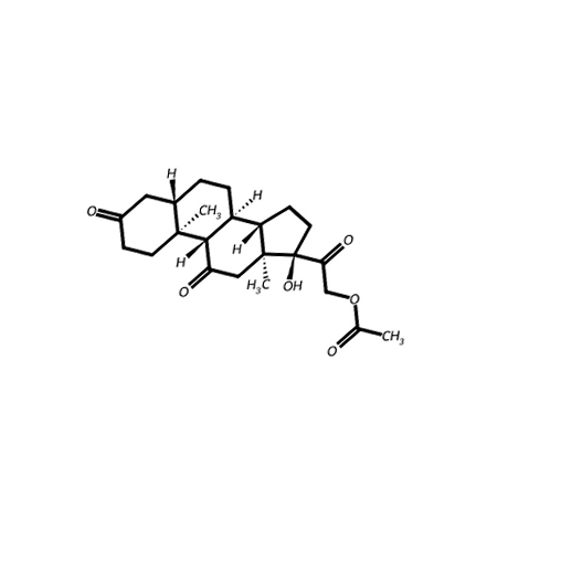 CC(=O)OCC(=O)[C@@]1(O)CC[C@H]2[C@@H]3CC[C@H]4CC(=O)CC[C@]4(C)[C@H]3C(=O)C[C@@]21C